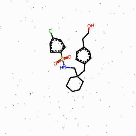 O=S(=O)(NCC1(Cc2ccc(CCO)cc2)CCCCC1)c1ccc(Cl)cc1